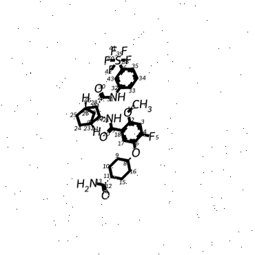 COc1cc(F)c(O[C@H]2CC[C@@H](C(N)=O)CC2)cc1C(=O)N[C@@H]1[C@@H]2CC[C@@H](C2)[C@@H]1C(=O)Nc1cccc(S(F)(F)(F)(F)F)c1